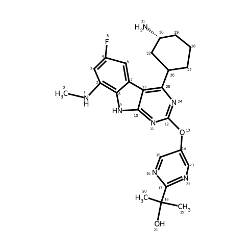 CNc1cc(F)cc2c1[nH]c1nc(Oc3cnc(C(C)(C)O)nc3)nc(C3CCC[C@@H](N)C3)c12